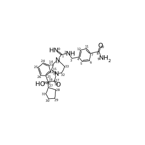 N=C(NCc1ccc(C(N)=O)cc1)N1CCN(C(=O)[C@](O)(c2ccccc2)C2CCCC2)CC1